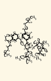 COCCCN1CCOc2ccc(CO[C@H]3CN(C(=O)OC(C)(C)C)[C@@H](CC(C)(C)C(=O)N(C)C(=O)OC(C)Cl)C[C@@H]3c3ccc(COCCOC)cc3)cc21